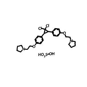 ClC1(Cl)C(c2ccc(OCCN3CCCC3)cc2)C1c1ccc(OCCN2CCCC2)cc1.O=S(=O)(O)O